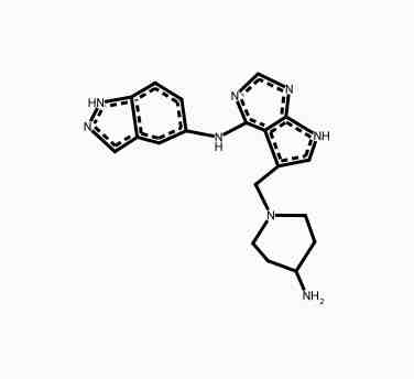 NC1CCN(Cc2c[nH]c3ncnc(Nc4ccc5[nH]ncc5c4)c23)CC1